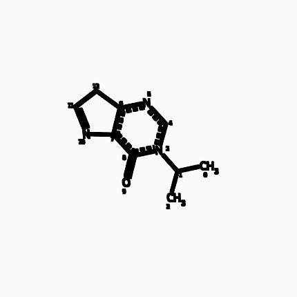 CC(C)n1cnc2c(c1=O)N=CC2